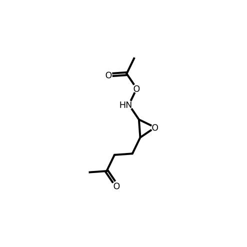 CC(=O)CCC1OC1NOC(C)=O